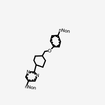 CCCCCCCCCc1ccc(OCC2CCC(c3ncc(CCCCCCCCC)cn3)CC2)cc1